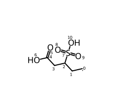 [CH2]CC(CC(=O)O)S(=O)(=O)O